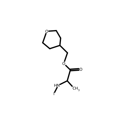 CC(NI)C(=O)OCC1CCOCC1